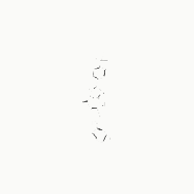 COc1cccc(NCc2cc(=O)n3nc(-c4ccc(C(C)(C)C)cc4)nc3[nH]2)c1